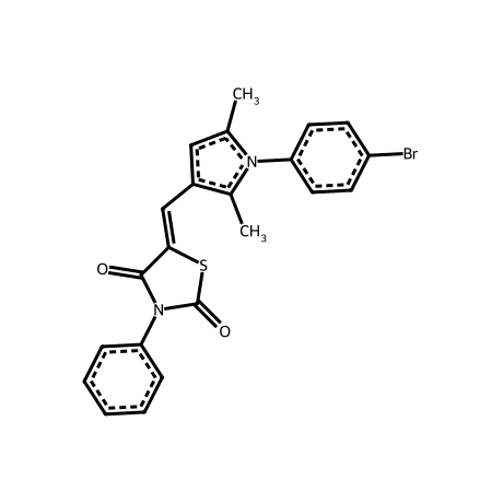 Cc1cc(C=C2SC(=O)N(c3ccccc3)C2=O)c(C)n1-c1ccc(Br)cc1